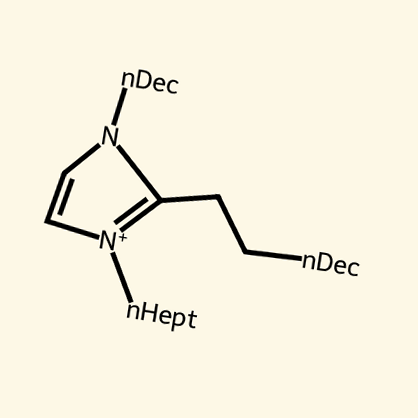 CCCCCCCCCCCCc1n(CCCCCCCCCC)cc[n+]1CCCCCCC